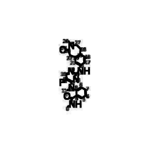 CNC(=O)c1ccccc1N(C)c1nc(Nc2ccc3c(c2)CC(=O)N(C)CC3)ncc1F